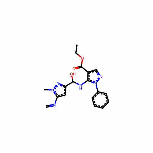 C=Nc1cc(C(O)Nc2c(C(=O)OCC)cnn2-c2ccccc2)nn1C